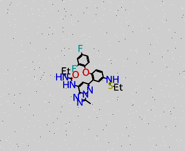 CCNC(=O)Nc1cc(-c2cc(NSCC)ccc2Oc2ccc(F)cc2F)nn2c(C)nnc12